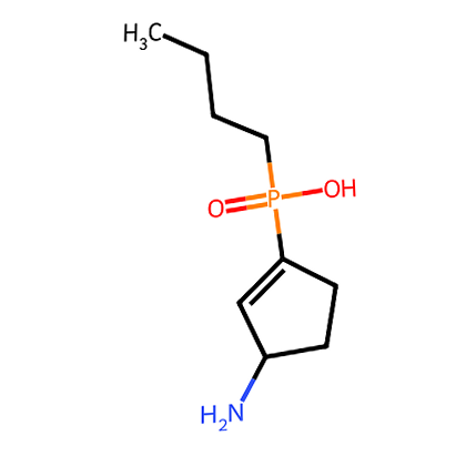 CCCCP(=O)(O)C1=CC(N)CC1